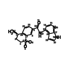 N[C@@H]1CCS(=O)(=O)c2cc(C(=O)Nc3ccnc4[nH]ccc34)ccc21